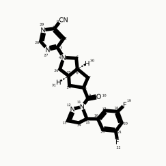 N#Cc1cc(N2C[C@H]3CC(C(=O)N4N=CCC4c4cc(F)cc(F)c4)C[C@H]3C2)ncn1